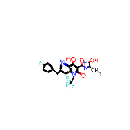 C[C@H](CO)NC(=O)c1c(O)c2ncc(Cc3ccc(F)cc3)cc2n(CC(F)(F)F)c1=O